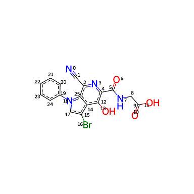 N#Cc1nc(C(=O)NCC(=O)O)c(O)c2c(Br)cn(-c3ccccc3)c12